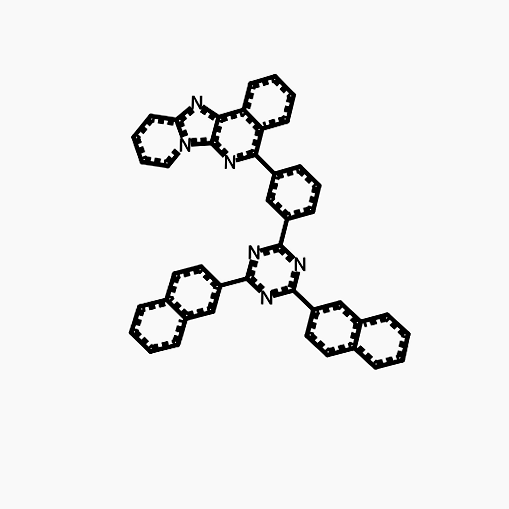 c1cc(-c2nc(-c3ccc4ccccc4c3)nc(-c3ccc4ccccc4c3)n2)cc(-c2nc3c(nc4ccccn43)c3ccccc23)c1